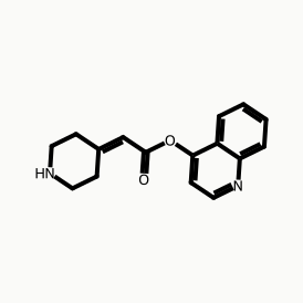 O=C(C=C1CCNCC1)Oc1ccnc2ccccc12